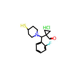 Cl.O=CC1(C(c2ccccc2F)N2CCC(S)CC2)CC1